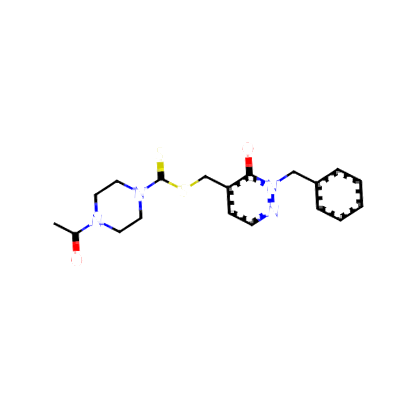 CC(=O)N1CCN(C(=S)SCc2ccnn(Cc3ccccc3)c2=O)CC1